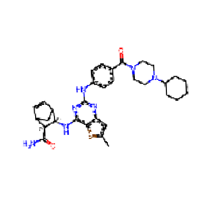 Cc1cc2nc(Nc3ccc(C(=O)N4CCN(C5CCCCC5)CC4)cc3)nc(N[C@@H]3C4C=CC(C4)[C@@H]3C(N)=O)c2s1